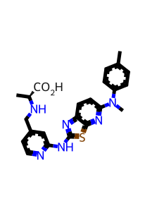 Cc1ccc(N(C)c2ccc3nc(Nc4cc(CN[C@@H](C)C(=O)O)ccn4)sc3n2)cc1